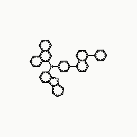 c1ccc(-c2cccc3c(-c4ccc(N(c5cc6ccccc6c6ccccc56)c5cccc6c5sc5ccccc56)cc4)cccc23)cc1